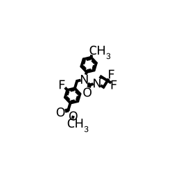 COC(=O)c1ccc(CN(C(=O)N2CC(F)(F)C2)c2ccc(C)cc2)c(F)c1